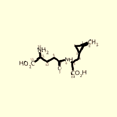 C=C1CC1CC(NC(=O)CCC(N)C(=O)O)C(=O)O